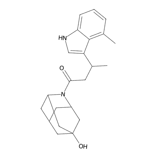 Cc1cccc2[nH]cc(C(C)CC(=O)N3C4CC5CC3CC(O)(C5)C4)c12